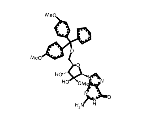 COc1ccc(C(OC[C@H]2O[C@@H](n3cnc4c(=O)[nH]c(N)nc43)[C@@](O)(OC)[C@@H]2O)(c2ccccc2)c2ccc(OC)cc2)cc1